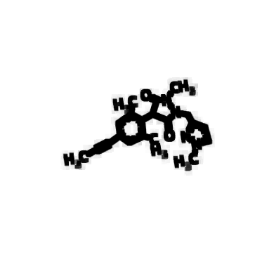 CC#Cc1cc(C)c(C2C(=O)N(C)N(Cc3ccn(C)n3)C2=O)c(C)c1